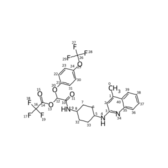 Cc1cc(NC2CCC(NC(=O)C(OC(=O)C(F)(F)F)Oc3ccc(OC(F)(F)F)cc3)CC2)nc2ccccc12